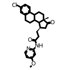 COc1ccnc(NC(=O)CC[C@@H]2CC(=O)[C@@]3(C)CCC4c5ccc(Cl)cc5CCC4C23)c1